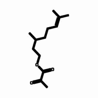 CC(=O)C(=O)OCCC(C)CCC=C(C)C